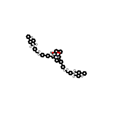 O=C(Cc1ccc(-n2c(=O)c3ccc4oc5ccccc5c5ccc(c2=O)c3c45)cc1)Oc1ccc(-c2ccc(C3=N/C(=C(/c4c(Cl)cccc4Cl)c4c(-c5ccccc5)cc(-c5ccc(-c6ccc(OC(=O)Cc7ccc(-n8c(=O)c9ccc%10oc%11ccccc%11c%11ccc(c8=O)c9c%10%11)cc7)cc6)cc5)n4BF)C(c4ccccc4)=C3)cc2)cc1